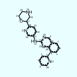 c1ccc(-c2cccc3cnc(Nc4ccc(C5CNCCO5)nc4)nc23)nc1